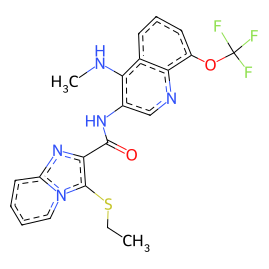 CCSc1c(C(=O)Nc2cnc3c(OC(F)(F)F)cccc3c2NC)nc2ccccn12